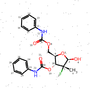 C[C@]1(F)[C@H](O)O[C@H](COC(=O)Nc2ccccc2)[C@H]1OC(=O)Nc1ccccc1